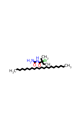 CCC(Br)(CC)C(=O)NC(N)=O.CCCCCCCCCCCCCCCCCCCCCC